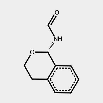 O=[C]N[C@H]1OCCc2ccccc21